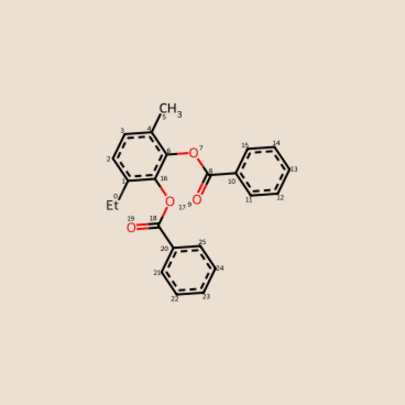 CCc1ccc(C)c(OC(=O)c2ccccc2)c1OC(=O)c1ccccc1